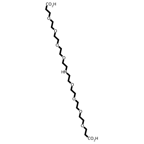 O=C(O)CCOCCOCCOCCOCCNCCOCCOCCOCCOCCC(=O)O